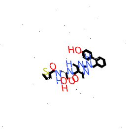 Cc1nc(NCc2ccccc2-c2ccc(O)cc2)nc(C)c1C(=O)N[C@@H](CNC(=O)c1cccs1)C(=O)O